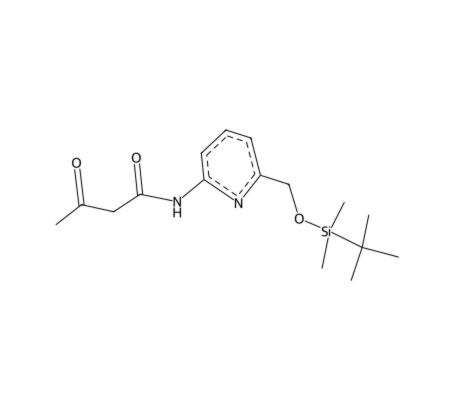 CC(=O)CC(=O)Nc1cccc(CO[Si](C)(C)C(C)(C)C)n1